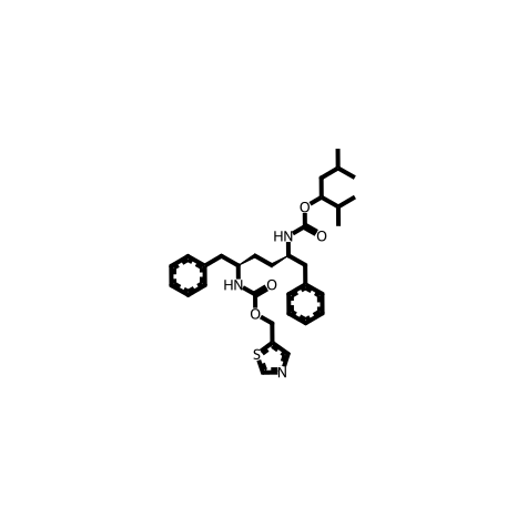 CC(C)CC(OC(=O)N[C@H](CC[C@H](Cc1ccccc1)NC(=O)OCc1cncs1)Cc1ccccc1)C(C)C